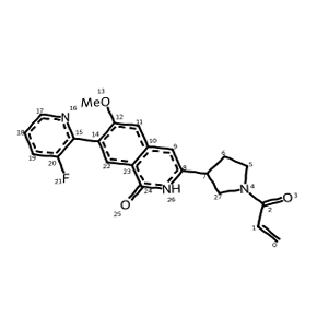 C=CC(=O)N1CCC(c2cc3cc(OC)c(-c4ncccc4F)cc3c(=O)[nH]2)C1